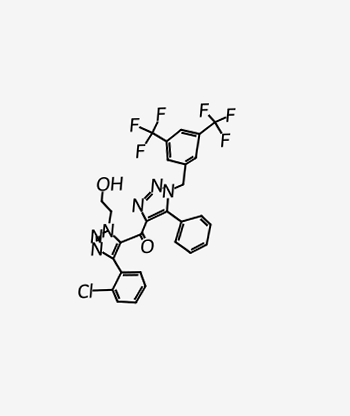 O=C(c1nnn(Cc2cc(C(F)(F)F)cc(C(F)(F)F)c2)c1-c1ccccc1)c1c(-c2ccccc2Cl)nnn1CCO